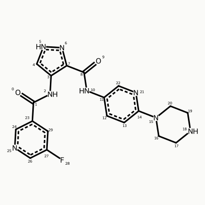 O=C(Nc1c[nH]nc1C(=O)Nc1ccc(N2CCNCC2)nc1)c1cncc(F)c1